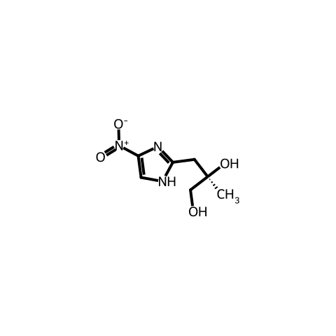 C[C@](O)(CO)Cc1nc([N+](=O)[O-])c[nH]1